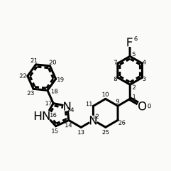 O=C(c1ccc(F)cc1)C1CCN(Cc2c[nH]c(-c3ccccc3)n2)CC1